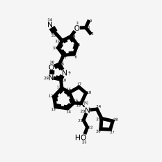 CC(C)Oc1ccc(-c2nc(-c3cccc4c3CC[C@@H]4N(CCO)CC3CCC3)no2)cc1C#N